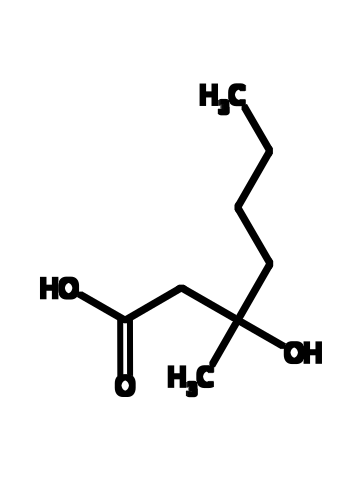 CCCCC(C)(O)CC(=O)O